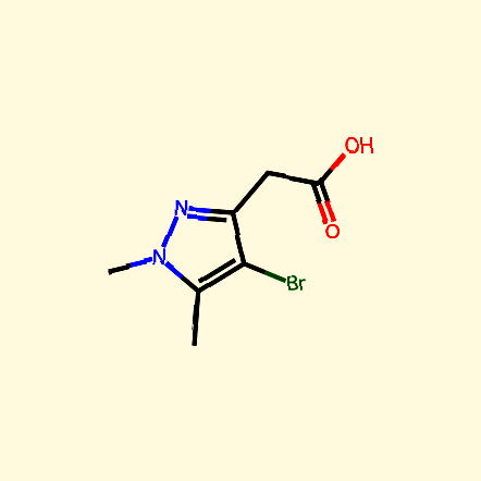 Cc1c(Br)c(CC(=O)O)nn1C